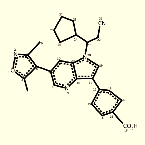 Cc1noc(C)c1-c1cnc2c(-c3ccc(C(=O)O)cc3)cn(C(CC#N)C3CCCC3)c2c1